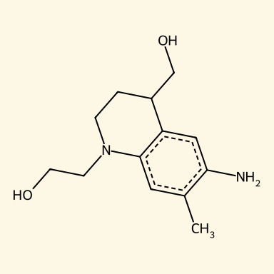 Cc1cc2c(cc1N)C(CO)CCN2CCO